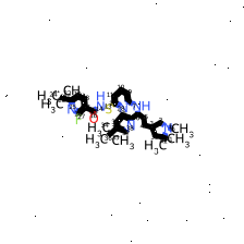 CN1CC(CCC(Nc2cccc(SNC(=O)c3ccc(C(C)(C)C)nc3F)n2)c2ccc(C(C)(C)C)cn2)CC1(C)C